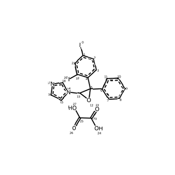 Ic1ccc(C2(c3ccccc3)OC2n2ccnc2)c(I)c1.O=C(O)C(=O)O